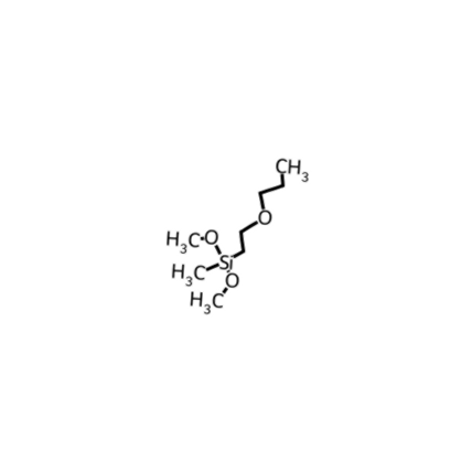 CCCOCC[Si](C)(OC)OC